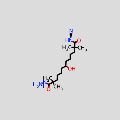 CC(C)(CCCCC(O)CCCCC(C)(C)C(=O)NC#N)C(=O)NN